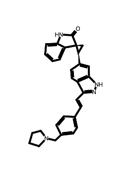 O=C1Nc2ccccc2[C@]12C[C@H]2c1ccc2c(/C=C/c3ccc(CN4CCCC4)cc3)n[nH]c2c1